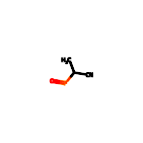 CC(C#N)P=O